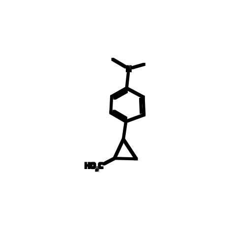 CN(C)c1ccc(C2CC2C(=O)O)cc1